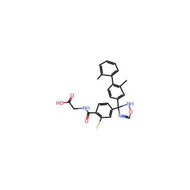 Cc1ccccc1-c1ccc(C2(c3ccc(C(=O)NCC(=O)O)c(F)c3)N=CON2)cc1C